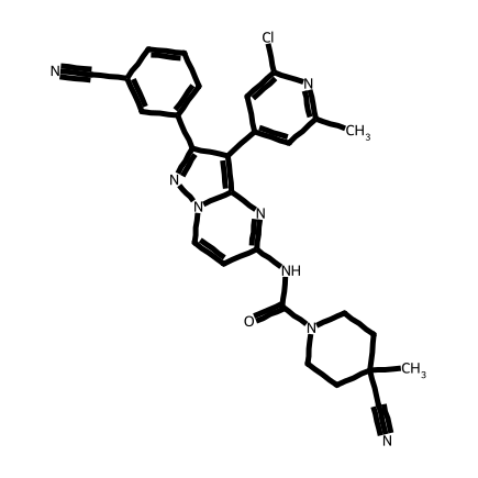 Cc1cc(-c2c(-c3cccc(C#N)c3)nn3ccc(NC(=O)N4CCC(C)(C#N)CC4)nc23)cc(Cl)n1